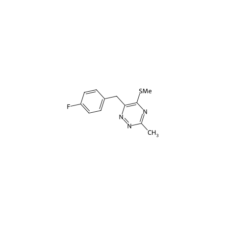 CSc1nc(C)nnc1Cc1ccc(F)cc1